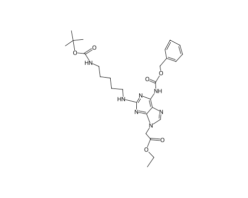 CCOC(=O)Cn1cnc2c(NC(=O)OCc3ccccc3)nc(NCCCCCNC(=O)OC(C)(C)C)nc21